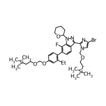 CCc1cc(OCOCC[Si](C)(C)C)ccc1-c1ccc2c(-c3nc(Br)cn3COCC[Si](C)(C)C)nn(C3CCCCO3)c2c1F